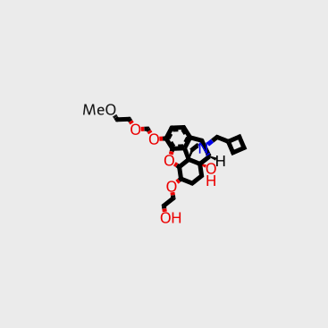 COCCOCOc1ccc2c3c1OC1C(OCCO)CC[C@@]4(O)[C@@H](C2)N(CC2CCC2)CC[C@]314